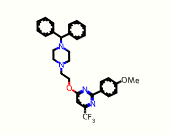 COc1ccc(-c2nc(OCCN3CCN(C(c4ccccc4)c4ccccc4)CC3)cc(C(F)(F)F)n2)cc1